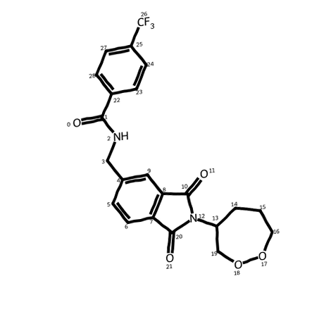 O=C(NCc1ccc2c(c1)C(=O)N(C1CCCOOC1)C2=O)c1ccc(C(F)(F)F)cc1